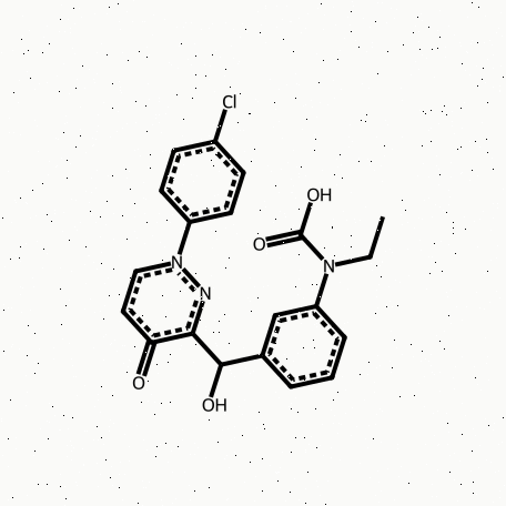 CCN(C(=O)O)c1cccc(C(O)c2nn(-c3ccc(Cl)cc3)ccc2=O)c1